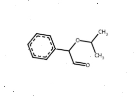 CC(C)OC([C]=O)c1ccccc1